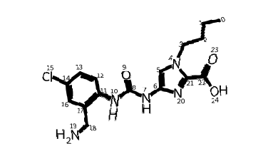 CCCCn1cc(NC(=O)Nc2ccc(Cl)cc2CN)nc1C(=O)O